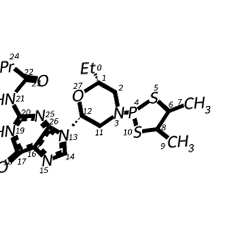 CC[C@@H]1CN(P2SC(C)C(C)S2)C[C@H](n2cnc3c(=O)[nH]c(NC(=O)C(C)C)nc32)O1